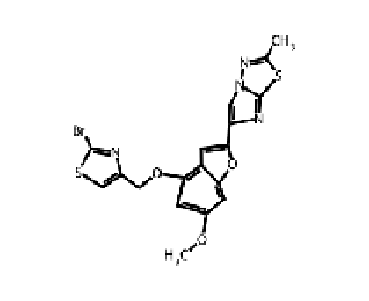 COc1cc(OCc2csc(Br)n2)c2cc(-c3cn4nc(C)sc4n3)oc2c1